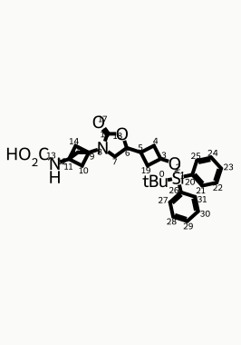 CC(C)(C)[Si](OC1CC(C2CN(C34CC(NC(=O)O)(C3)C4)C(=O)O2)C1)(c1ccccc1)c1ccccc1